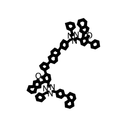 c1ccc(-c2nc(-c3ccc(-c4ccc5cc(-c6cccc(-c7ccc(-c8nc(-c9ccccc9)nc(-c9ccc(-c%10cccc%11ccccc%10%11)cc9)n8)c8c7oc7cc9ccccc9cc78)c6)ccc5c4)cc3)nc(-c3ccc(-c4ccccc4)c4oc5cc6ccccc6cc5c34)n2)cc1